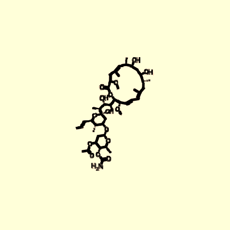 C/C=C/[C@H]1O[C@@](O)([C@@H](C)[C@H](O)[C@H](C)[C@H]2OC(=O)/C(OC)=C/C(C)=C/[C@@H](C)[C@@H](O)C[C@@H](O)[C@H](C)C/C(C)=C/C=C/[C@@H]2OC)C[C@@H](O[C@@H]2CC(OC(C)=O)[C@@H](OC(N)=O)[C@H](C)O2)[C@@H]1C